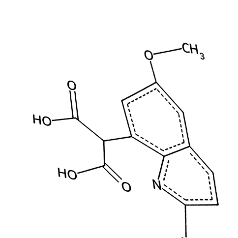 COc1cc(C(C(=O)O)C(=O)O)c2nc(N)ccc2c1